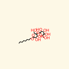 CCCCCCCCO[C@@H]1OC(CO)[C@@H](O[C@H]2OC(CO)[C@@H](O)C(O)C2O)C(O)C1O